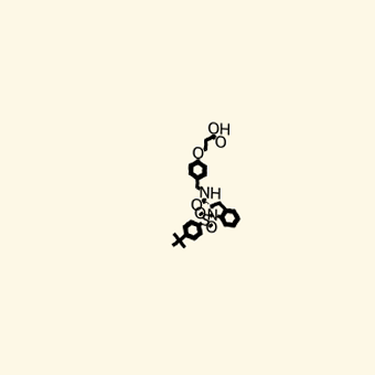 CC(C)(C)c1ccc(S(=O)(=O)N2c3ccccc3C[C@H]2C(=O)NCc2ccc(OCCC(=O)O)cc2)cc1